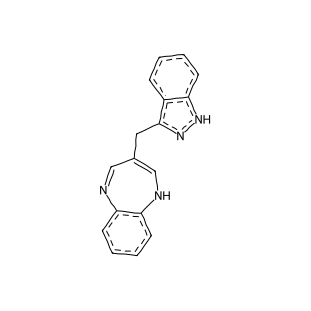 C1=Nc2ccccc2NC=C1Cc1n[nH]c2ccccc12